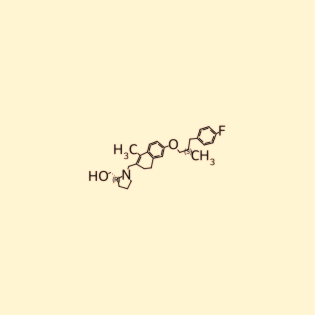 CC1=C(CN2CCC[C@@H]2CO)CCc2cc(OC[C@@H](C)Cc3ccc(F)cc3)ccc21